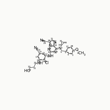 COc1ccc(CN(c2nc(Nc3cc(C#N)cc(NCCCO)c3Cl)nn3c(C#N)cnc23)C2CC2)cc1